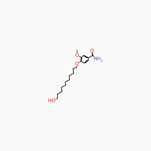 COc1cc(C(N)=O)ccc1OCCCCCCCCCCCO